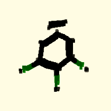 C=C.Fc1cccc(F)c1F